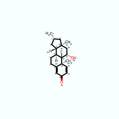 C[C@H]1C[C@H]2[C@@H]3CCC4=CC(=O)C=C[C@]4(C)[C@@]3(F)[C@@H](O)C[C@]2(C)C1